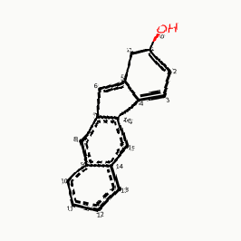 OC1=CC=C2C(=Cc3cc4ccccc4cc32)C1